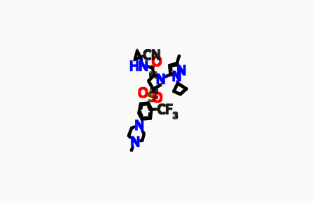 Cc1cc(N2C[C@H](S(=O)(=O)c3ccc(N4CCN(C)CC4)cc3C(F)(F)F)C[C@H]2C(=O)NC2(C#N)CC2)n(C2CCC2)n1